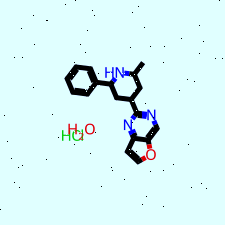 CC1CC(c2ncc3occc3n2)CC(c2ccccc2)N1.Cl.O